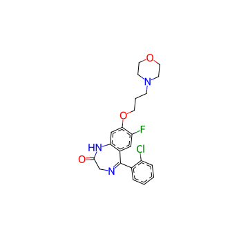 O=C1CN=C(c2ccccc2Cl)c2cc(F)c(OCCCN3CCOCC3)cc2N1